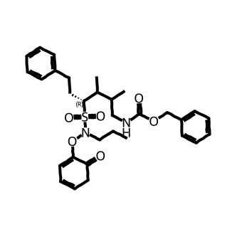 CCCN(OC1=CC=CCC1=O)S(=O)(=O)[C@H](CCc1ccccc1)C(C)C(C)CNC(=O)OCc1ccccc1